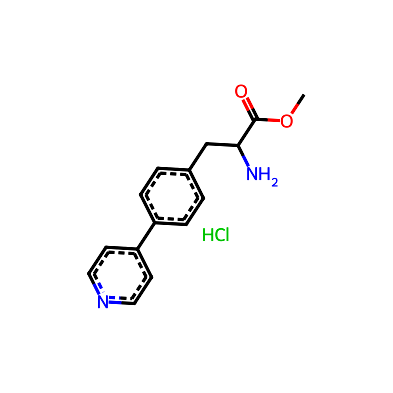 COC(=O)C(N)Cc1ccc(-c2ccncc2)cc1.Cl